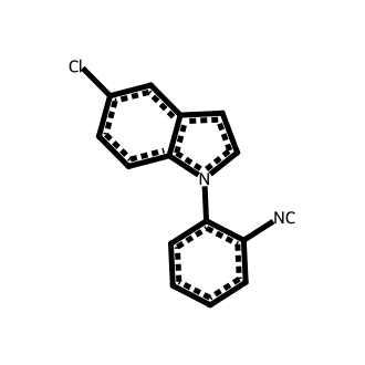 [C-]#[N+]c1ccccc1-n1ccc2cc(Cl)ccc21